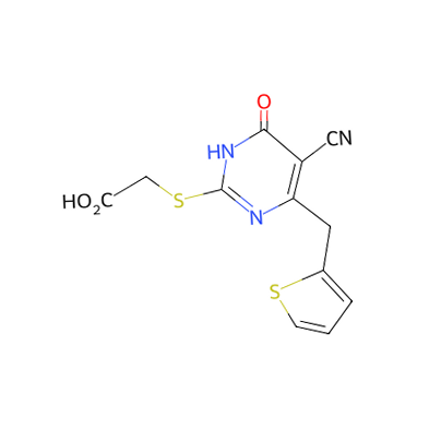 N#Cc1c(Cc2cccs2)nc(SCC(=O)O)[nH]c1=O